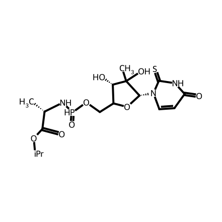 CC(C)OC(=O)[C@H](C)N[PH](=O)OCC1O[C@@H](n2ccc(=O)[nH]c2=S)C(C)(O)[C@H]1O